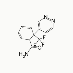 NC(=O)C1C=CC=CC1(c1ccnnc1)C(F)(F)F